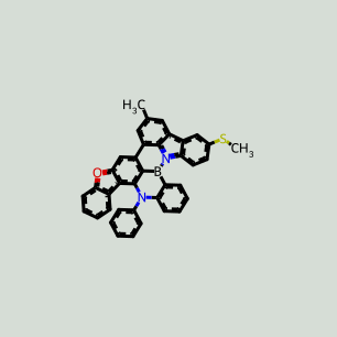 CSc1ccc2c(c1)c1cc(C)cc3c1n2B1c2ccccc2N(c2ccccc2)c2c1c-3cc1oc3ccccc3c21